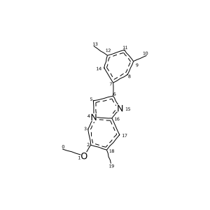 COc1cn2cc(-c3cc(C)cc(C)c3)nc2cc1C